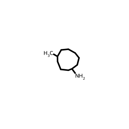 CC1CCCCCC(N)CCC1